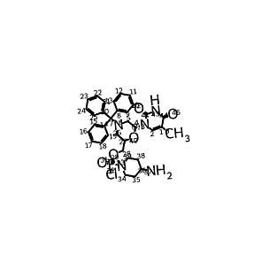 Cc1cn([C@H]2CN(C(c3ccccc3)(c3ccccc3)c3ccccc3)CC(COP(=O)(Cl)N3CCC(N)CC3)O2)c(=O)[nH]c1=O